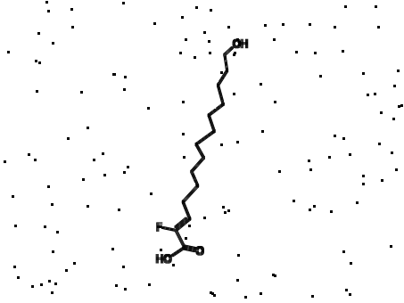 O=C(O)C(F)=CCCCCCCCCCCCO